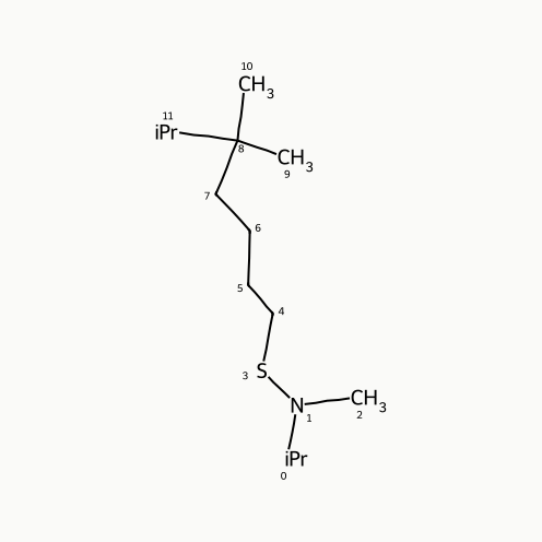 CC(C)N(C)SCCCCC(C)(C)C(C)C